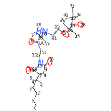 CCCCC(C)(C)C1CC(=O)N(CCC(=O)C(C)(CC)NCCOC(C)(C)C(=O)C(C)(C)C)C1=O